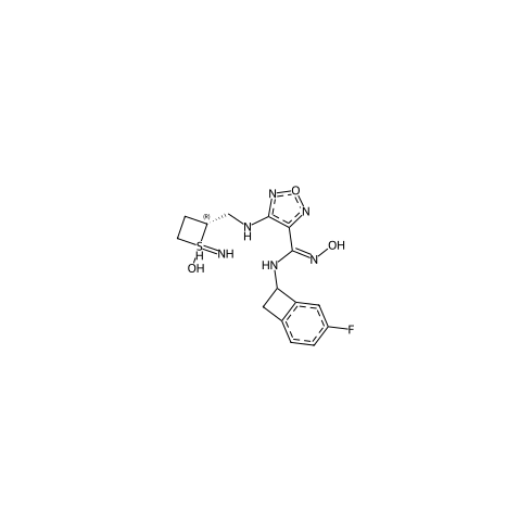 N=[SH]1(O)CC[C@@H]1CNc1nonc1C(=NO)NC1Cc2ccc(F)cc21